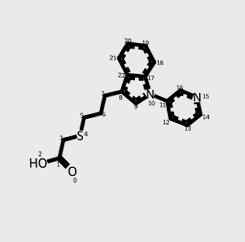 O=C(O)CSCCCc1cn(-c2cccnc2)c2ccccc12